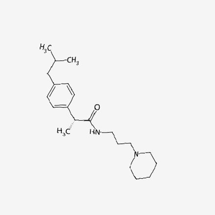 CC(C)Cc1ccc([C@@H](C)C(=O)NCCCN2CCCCC2)cc1